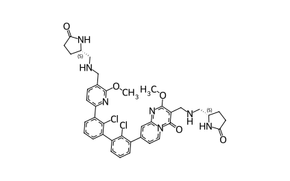 COc1nc(-c2cccc(-c3cccc(-c4ccn5c(=O)c(CNC[C@@H]6CCC(=O)N6)c(OC)nc5c4)c3Cl)c2Cl)ccc1CNC[C@@H]1CCC(=O)N1